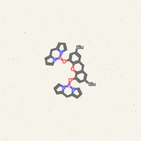 CC(C)(C)c1cc2c(c(OP3n4cccc4Cc4cccn43)c1)Oc1c(cc(C(C)(C)C)cc1OP1n3cccc3Cc3cccn31)C2